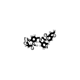 CCN1C(=O)C(C)(C)C(=O)N(C)c2cc(CN(CCn3ccc4oc(C)cc4c3=O)Cc3ccnc(C)c3)ccc21